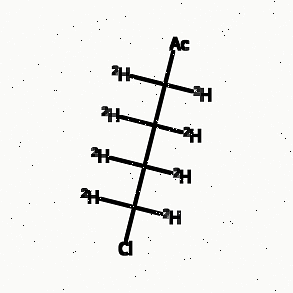 [2H]C([2H])(Cl)C([2H])([2H])C([2H])([2H])C([2H])([2H])C(C)=O